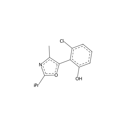 Cc1nc(C(C)C)oc1-c1c(O)cccc1Cl